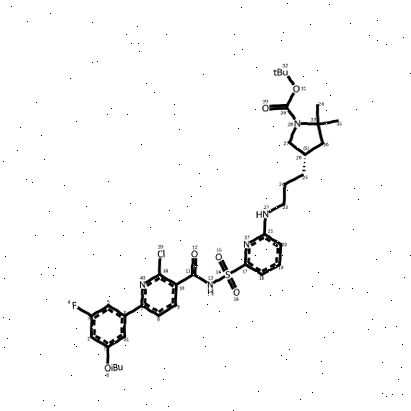 CC(C)COc1cc(F)cc(-c2ccc(C(=O)NS(=O)(=O)c3cccc(NCCC[C@@H]4CN(C(=O)OC(C)(C)C)C(C)(C)C4)n3)c(Cl)n2)c1